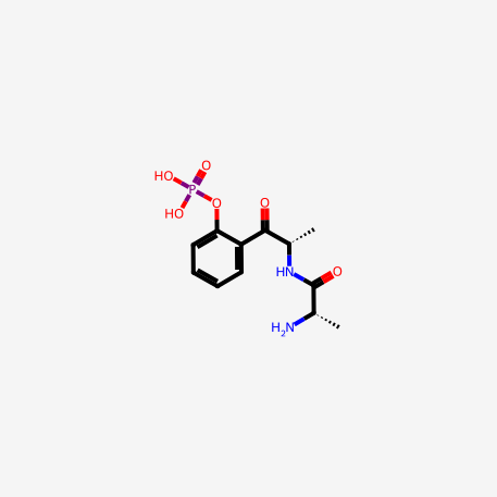 C[C@H](N)C(=O)N[C@@H](C)C(=O)c1ccccc1OP(=O)(O)O